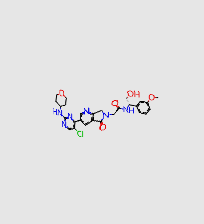 COc1cccc([C@@H](CO)NC(=O)CN2Cc3ncc(-c4nc(NC5CCOCC5)ncc4Cl)cc3C2=O)c1